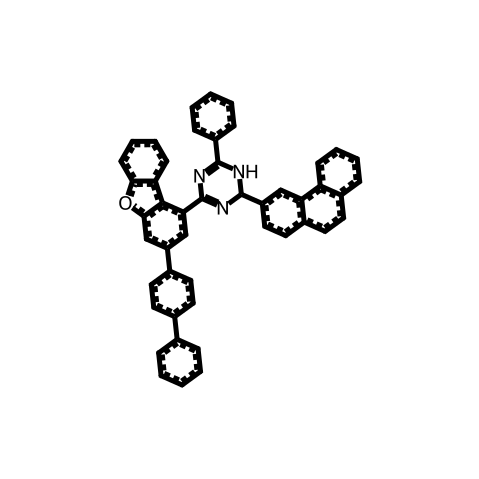 c1ccc(C2=NC(c3cc(-c4ccc(-c5ccccc5)cc4)cc4oc5ccccc5c34)=NC(c3ccc4ccc5ccccc5c4c3)N2)cc1